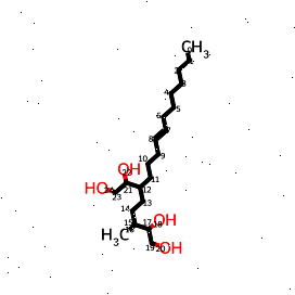 CCCCCCCC=CCCCC(CCC(C)C(O)CO)C(O)CO